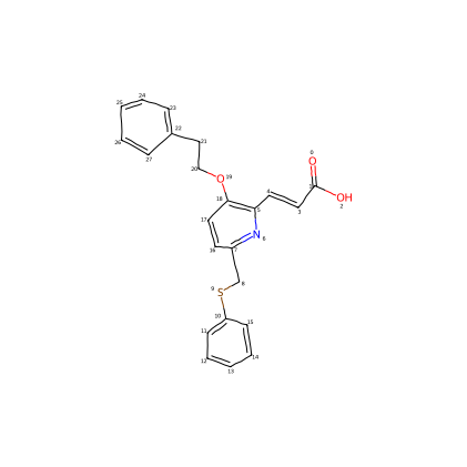 O=C(O)C=Cc1nc(CSc2ccccc2)ccc1OCCc1ccccc1